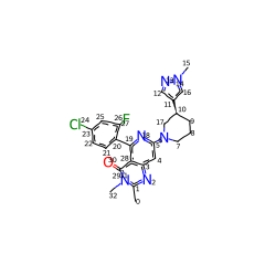 Cc1nc2cc(N3CCC[C@H](c4cnn(C)c4)C3)nc(-c3ccc(Cl)cc3F)c2c(=O)n1C